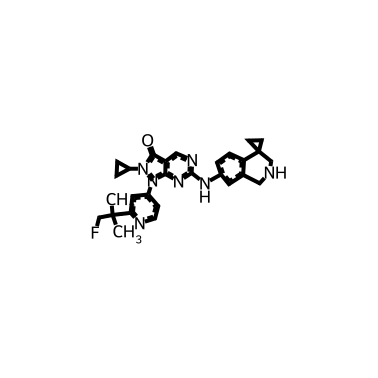 CC(C)(CF)c1cc(-n2c3nc(Nc4ccc5c(c4)CNCC54CC4)ncc3c(=O)n2C2CC2)ccn1